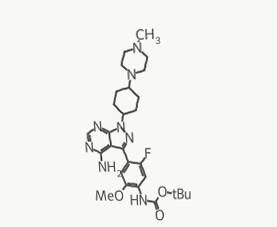 COc1cc(-c2nn(C3CCC(N4CCN(C)CC4)CC3)c3ncnc(N)c23)c(F)cc1NC(=O)OC(C)(C)C